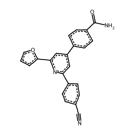 N#Cc1ccc(-c2cc(-c3ccc(C(N)=O)cc3)cc(-c3ccco3)n2)cc1